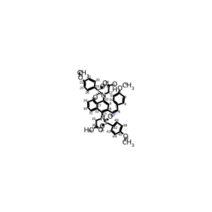 COc1ccc(/C=C\c2cc(N(CC(=O)O)S(=O)(=O)c3ccc(OC)cc3)c3ccccc3c2N(CC(=O)O)S(=O)(=O)c2ccc(OC)cc2)cc1